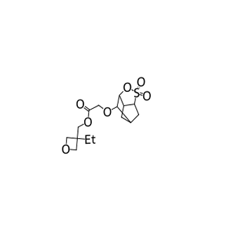 CCC1(COC(=O)COC2C3CC4C2OS(=O)(=O)C4C3)COC1